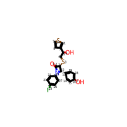 O=C1[C@@H](SCC(O)c2ccsc2)[C@H](c2ccc(O)cc2)N1c1ccc(F)cc1